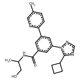 Cc1ccc(-c2cc(C(=O)NC(C)CO)cc(-n3ncnc3C3CCC3)c2)nc1